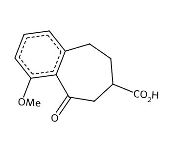 COc1cccc2c1C(=O)CC(C(=O)O)CC2